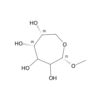 CO[C@H]1OC[C@@H](O)[C@@H](O)C(O)C1O